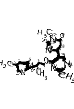 Cc1ccc([C@H](C)CCOc2nc(C)ncc2-c2cc(=O)n(C)cn2)nc1